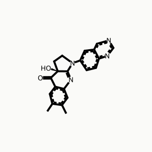 Cc1cc2c(cc1C)C(=O)[C@]1(O)CCN(c3ccc4ncncc4c3)C1=N2